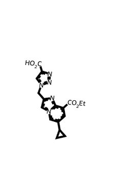 CCOC(=O)c1cc(C2CC2)cn2cc(Cn3cc(C(=O)O)nn3)nc12